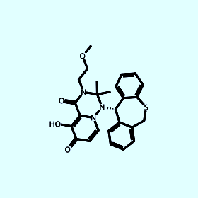 COCCN1C(=O)c2c(O)c(=O)ccn2N([C@H]2c3ccccc3CSc3ccccc32)C1(C)C